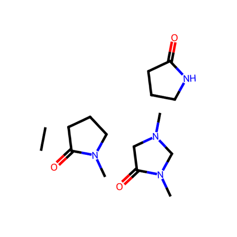 CC.CN1CC(=O)N(C)C1.CN1CCCC1=O.O=C1CCCN1